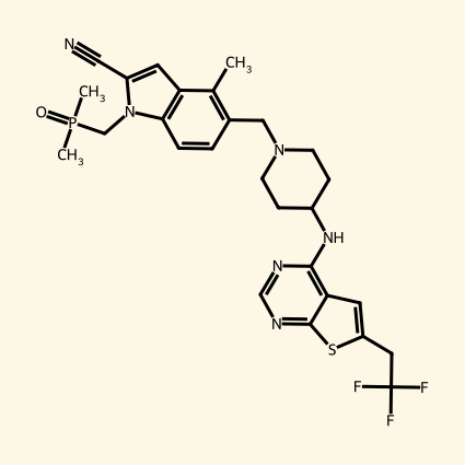 Cc1c(CN2CCC(Nc3ncnc4sc(CC(F)(F)F)cc34)CC2)ccc2c1cc(C#N)n2CP(C)(C)=O